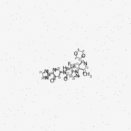 Cc1cnc([C@H]2COCCO2)cc1-n1ncc(C(=O)Nc2cnc(-n3nccn3)c(Cl)c2)c1C(F)(F)F